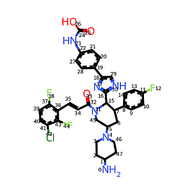 NC1CCN(C2CC(c3ccc(F)cc3)C(c3nc(-c4ccc(NC(=O)O)cc4)c[nH]3)N(C(=O)C=Cc3c(F)ccc(Cl)c3F)C2)CC1